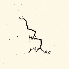 CC(=O)C(O)CNCCCS